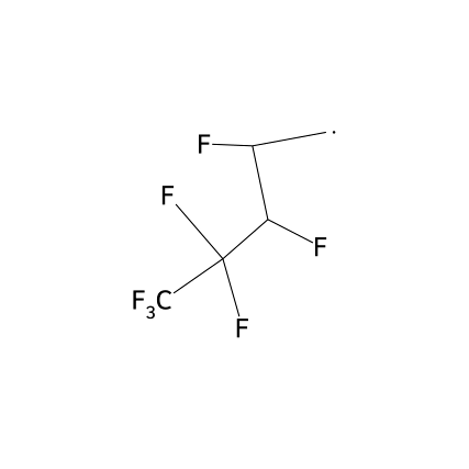 [CH2]C(F)C(F)C(F)(F)C(F)(F)F